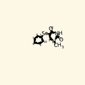 Cn1cc([Se]c2ccccc2)c(=O)[nH]c1=O